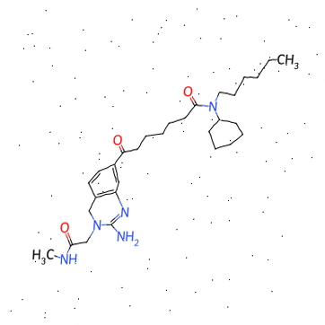 CCCCCCN(C(=O)CCCCCC(=O)c1ccc2c(c1)N=C(N)N(CC(=O)NC)C2)C1CCCCC1